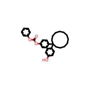 O=C(Oc1ccccc1)Oc1ccc(C2(c3ccc(O)cc3)CCCCCCCCCCC2)cc1